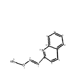 CCCON=Nc1ccc2ccccc2n1